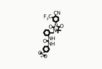 CC1(C)C(=O)N(c2ccc(C#N)c(C(F)(F)F)c2)C(=O)N1Cc1ccccc1NC(=O)Nc1ccc(S(C)(=O)=O)cc1